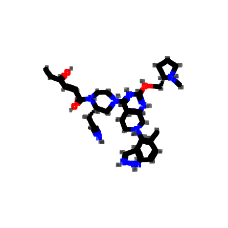 CCC(=O)/C=C/C(=O)N1CCN(c2nc(OC[C@@H]3CCCN3C)nc3c2CCN(c2c(C)ccc4[nH]ncc24)C3)C[C@@H]1CC#N